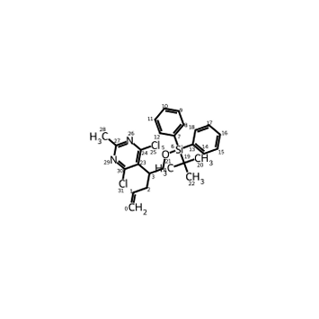 C=CCC(CO[Si](c1ccccc1)(c1ccccc1)C(C)(C)C)c1c(Cl)nc(C)nc1Cl